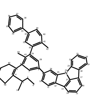 CCC(C)C1=C(c2cc(-c3ccc4c5cccc6c7ccccc7n(c4c3)c65)cc(-c3cc(-c4ccccc4)ccc3C)c2C)CCCC1